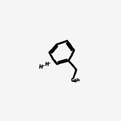 [Ga+2][CH2]c1ccccc1.[H-].[H-]